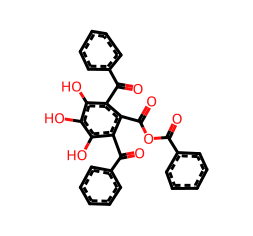 O=C(OC(=O)c1c(C(=O)c2ccccc2)c(O)c(O)c(O)c1C(=O)c1ccccc1)c1ccccc1